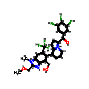 COCc1nc2c(CO)c(-c3cccn4c(C(=O)c5cc(F)c(F)c(F)c5)ccc34)c(C(F)(F)F)cc2n1C